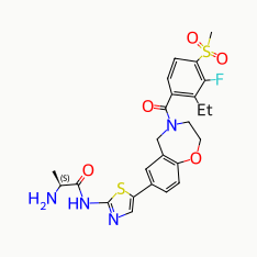 CCc1c(C(=O)N2CCOc3ccc(-c4cnc(NC(=O)[C@H](C)N)s4)cc3C2)ccc(S(C)(=O)=O)c1F